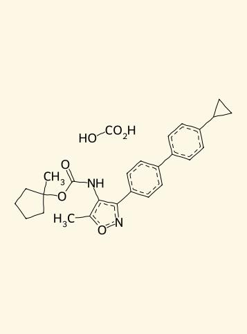 Cc1onc(-c2ccc(-c3ccc(C4CC4)cc3)cc2)c1NC(=O)OC1(C)CCCC1.O=C(O)O